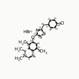 Br.CCN(C)/C=N\c1cc(C)c(Oc2nc(Cc3ccc(Cl)cc3)ns2)cc1C